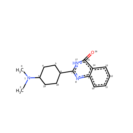 CN(C)C1CCC(c2nc3ccccc3c(=O)[nH]2)CC1